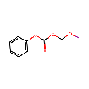 O=C(OCOI)Oc1ccccc1